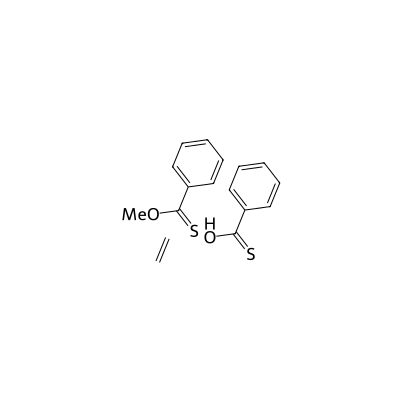 C=C.COC(=S)c1ccccc1.OC(=S)c1ccccc1